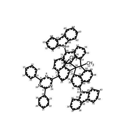 Cc1cccc2c(-c3nc(-c4ccccc4)nc(-c4ccccc4)n3)ccc(C34c5ccc(-n6c7ccccc7c7ccccc76)c6cccc(c56)C3(C)c3cccc5c(-n6c7ccccc7c7ccccc76)ccc4c35)c12